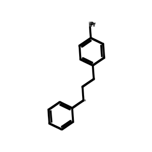 CC(C)c1ccc(CC[CH]c2ccccc2)cc1